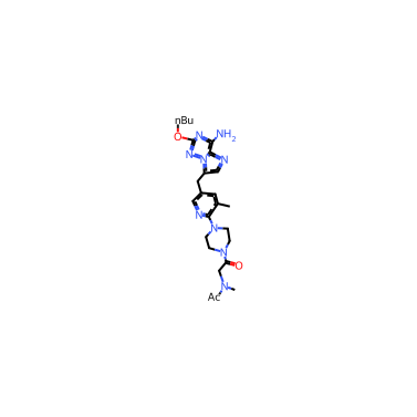 CCCCOc1nc(N)c2ncc(Cc3cnc(N4CCN(C(=O)CN(C)C(C)=O)CC4)c(C)c3)n2n1